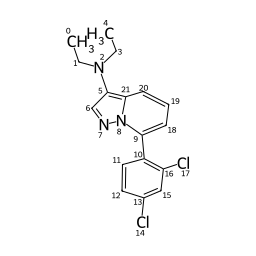 CCN(CC)c1cnn2c(-c3ccc(Cl)cc3Cl)cccc12